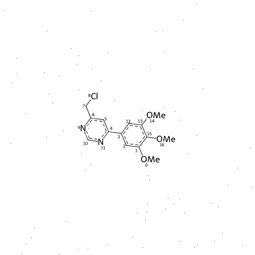 COc1cc(-c2cc(CCl)ncn2)cc(OC)c1OC